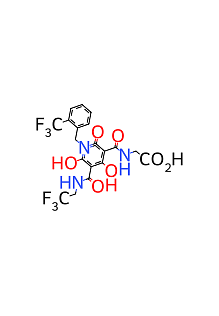 O=C(O)CNC(=O)c1c(O)c(C(=O)NCC(F)(F)F)c(O)n(Cc2ccccc2C(F)(F)F)c1=O